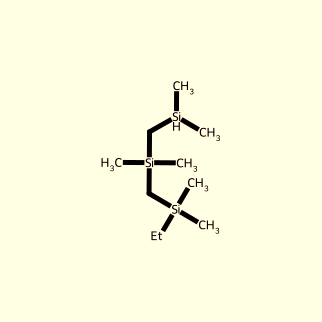 CC[Si](C)(C)C[Si](C)(C)C[SiH](C)C